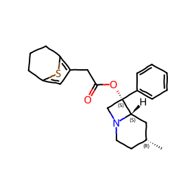 C[C@@H]1CCN2C[C@@](OC(=O)Cc3cc4sc3CCC4)(c3ccccc3)[C@@H]2C1